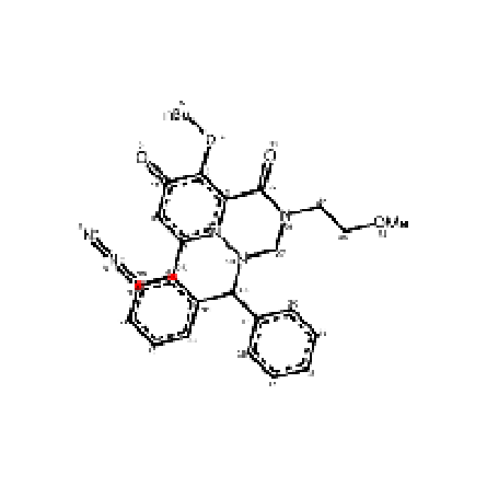 CCCCOc1c2n(c(CN=[N+]=[N-])cc1=O)N(C(c1ccccc1)c1ccccc1)CN(CCOC)C2=O